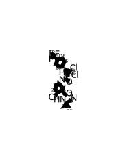 N#CC1(NC(=O)c2cc(NC(=O)[C@H]3[C@H](c4ccc(C(F)(F)F)cc4)C3(Cl)Cl)ccc2Cl)CC1